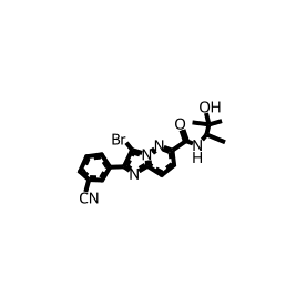 CC(NC(=O)c1ccc2nc(-c3cccc(C#N)c3)c(Br)n2n1)C(C)(C)O